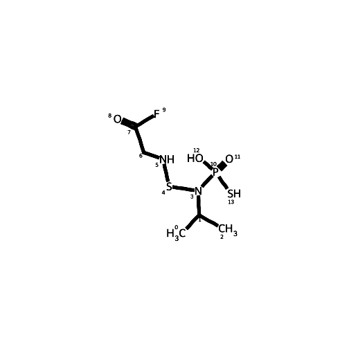 CC(C)N(SNCC(=O)F)P(=O)(O)S